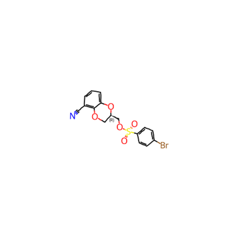 N#Cc1cccc2c1OC[C@H](COS(=O)(=O)c1ccc(Br)cc1)O2